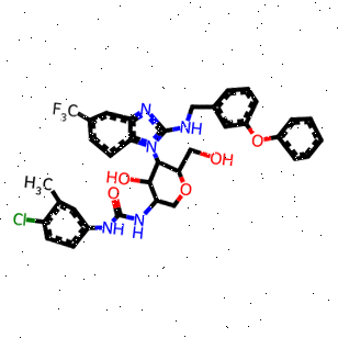 Cc1cc(NC(=O)NC2COC(CO)C(n3c(NCc4cccc(Oc5ccccc5)c4)nc4cc(C(F)(F)F)ccc43)C2O)ccc1Cl